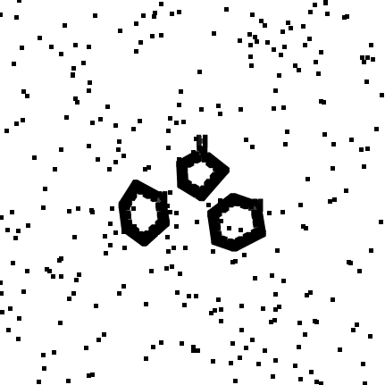 c1cc[nH]c1.c1ccncc1.c1ccncc1